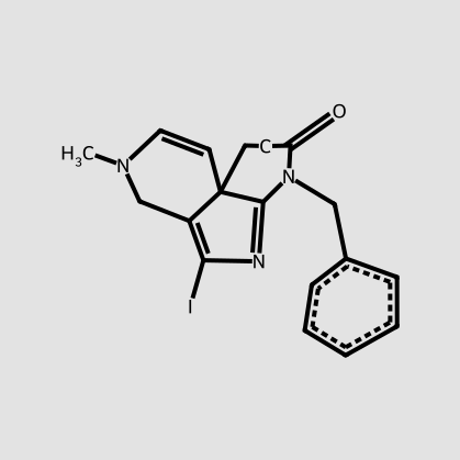 CN1C=CC23CCC(=O)N(Cc4ccccc4)C2=NC(I)=C3C1